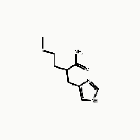 CSCCC(Cc1c[nH]cn1)C(N)=O